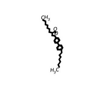 CCCCCCCCc1ccc(-c2ccc(C3CC(CCCCCCCC)C(=O)O3)cc2)cc1